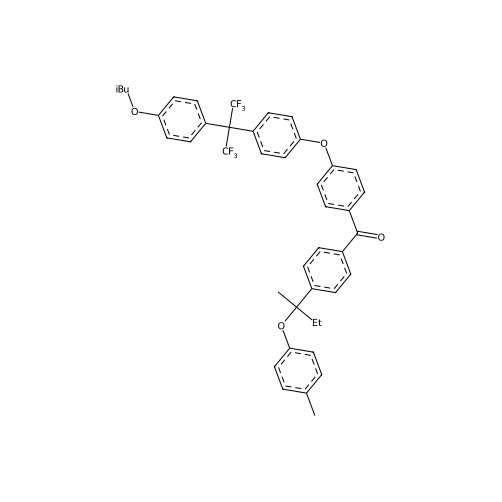 CCC(C)Oc1ccc(C(c2ccc(Oc3ccc(C(=O)c4ccc(C(C)(CC)Oc5ccc(C)cc5)cc4)cc3)cc2)(C(F)(F)F)C(F)(F)F)cc1